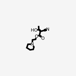 CC(O)=C(C#N)C(=O)OCCN1CCCCC1